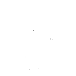 C=C(C)C(=O)NCCCS(=O)(=O)[O-].[Na+]